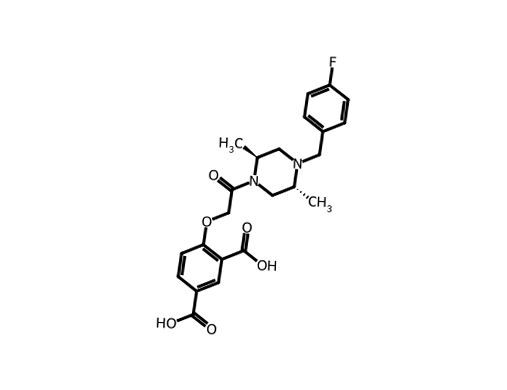 C[C@@H]1CN(C(=O)COc2ccc(C(=O)O)cc2C(=O)O)[C@@H](C)CN1Cc1ccc(F)cc1